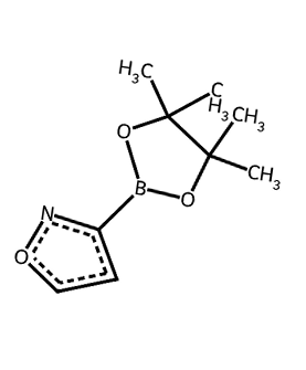 CC1(C)OB(c2ccon2)OC1(C)C